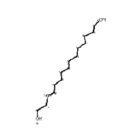 OCCCCCCCCCCCCNCCO